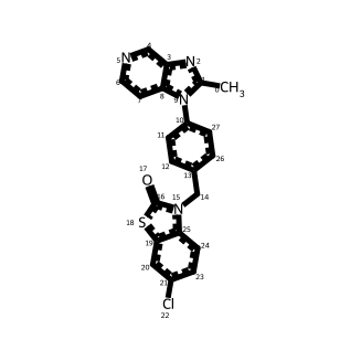 Cc1nc2cnccc2n1-c1ccc(Cn2c(=O)sc3cc(Cl)ccc32)cc1